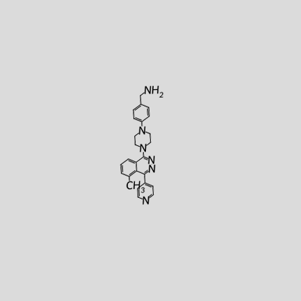 Cc1cccc2c(N3CCN(c4ccc(CN)cc4)CC3)nnc(-c3ccncc3)c12